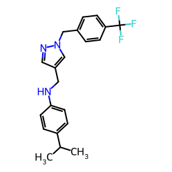 CC(C)c1ccc(NCc2cnn(Cc3ccc(C(F)(F)F)cc3)c2)cc1